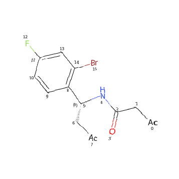 CC(=O)CC(=O)N[C@H](CC(C)=O)c1ccc(F)cc1Br